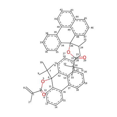 C=C(C)C(=O)OC1(C(C)(C)C)c2ccccc2-c2cccc3c(CC(C)C4(OC(=O)C(C)(C)C)c5ccccc5-c5cccc6cccc4c56)ccc1c23